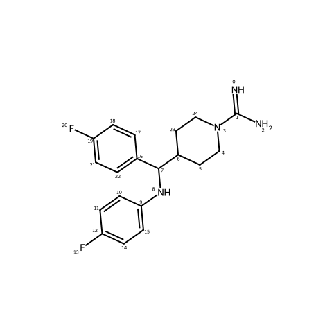 N=C(N)N1CCC(C(Nc2ccc(F)cc2)c2ccc(F)cc2)CC1